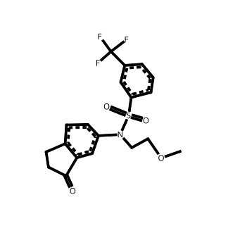 COCCN(c1ccc2c(c1)C(=O)CC2)S(=O)(=O)c1cccc(C(F)(F)F)c1